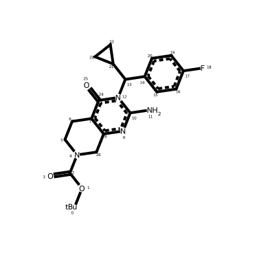 CC(C)(C)OC(=O)N1CCc2c(nc(N)n(C(c3ccc(F)cc3)C3CC3)c2=O)C1